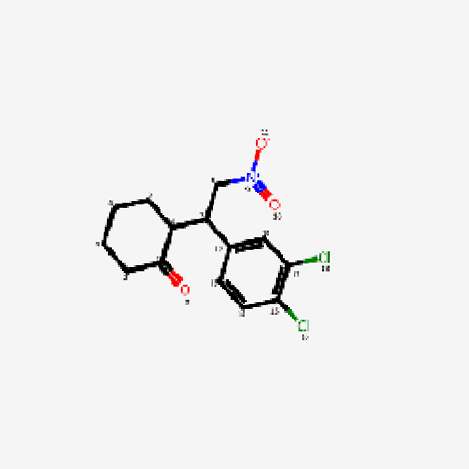 O=C1CCCCC1C(C[N+](=O)[O-])c1ccc(Cl)c(Cl)c1